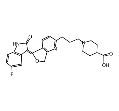 O=C1Nc2ccc(F)cc2C1=C1OCc2nc(CCCN3CCC(C(=O)O)CC3)ccc21